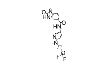 CN(c1ccc(CNC(=O)c2ccc3c(c2)[nH]c(=O)n3C)cn1)C1CC(OC(F)F)C1